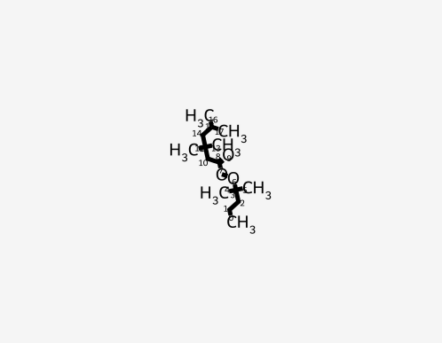 CCCC(C)(C)OOC(=O)CC(C)(C)CC(C)C